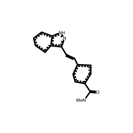 CNC(=O)c1ccc(/C=C/c2n[nH]c3ccccc23)cc1